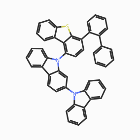 c1ccc(-c2ccccc2-c2ccc(-n3c4ccccc4c4ccc(-n5c6ccccc6c6ccccc65)cc43)c3c2sc2ccccc23)cc1